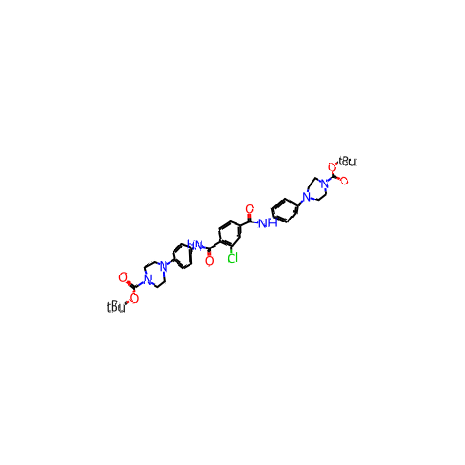 CC(C)(C)OC(=O)N1CCN(c2ccc(NC(=O)c3ccc(C(=O)Nc4ccc(N5CCN(C(=O)OC(C)(C)C)CC5)cc4)c(Cl)c3)cc2)CC1